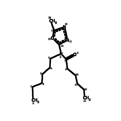 CCCCCCN(C(=O)CCCCC)c1nnc(C)o1